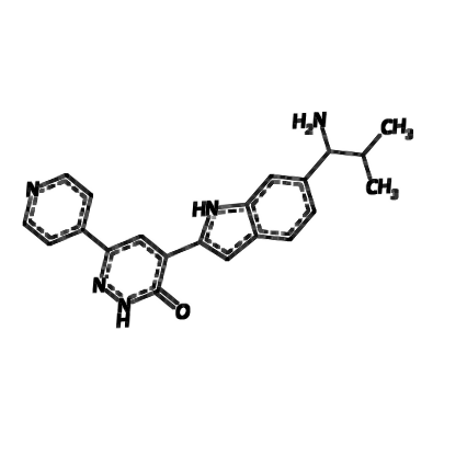 CC(C)C(N)c1ccc2cc(-c3cc(-c4ccncc4)n[nH]c3=O)[nH]c2c1